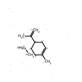 C=C(C)C1CC=C(C)CC1.CCCCCCC